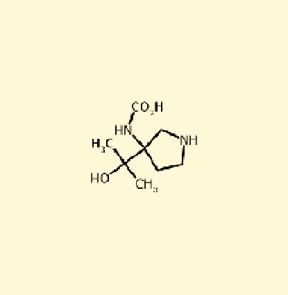 CC(C)(O)C1(NC(=O)O)CCNC1